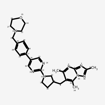 Cc1nc2nc(C)c(CC3CCN(c4ncc(-c5ccc(CN6CCOCC6)cc5)cn4)C3)c(C)n2n1